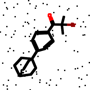 CC(C)(Br)C(=O)c1ccc(C23CC[C](CC2)CC3)cc1